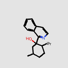 CC1CCC(C(C)C)C(O)(c2nccc3ccccc23)C1